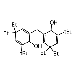 CCC1(CC)C=C(CC2=CC(CC)(CC)C=C(C(C)(C)C)C2O)C(O)C(C(C)(C)C)=C1